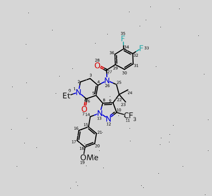 CCN1CCC2=C(C1=O)c1c(c(C(F)(F)F)nn1Cc1ccc(OC)cc1)C(C)(C)CN2C(=O)c1ccc(F)c(F)c1